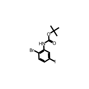 CC(C)(C)OC(=O)Nc1cc(I)ccc1Br